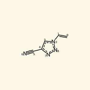 C=Cn1cc(C#N)nn1